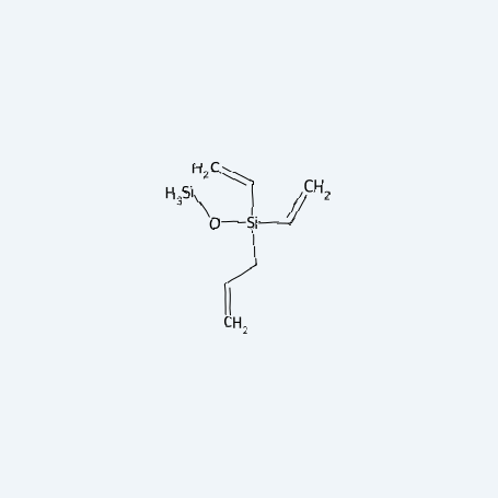 C=CC[Si](C=C)(C=C)O[SiH3]